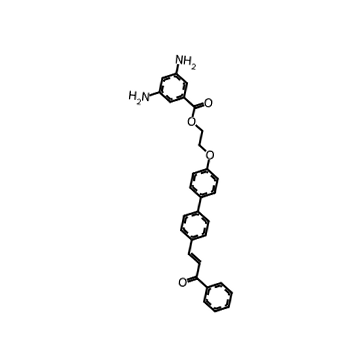 Nc1cc(N)cc(C(=O)OCCOc2ccc(-c3ccc(/C=C/C(=O)c4ccccc4)cc3)cc2)c1